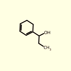 CCC(O)C1=CC=CCC1